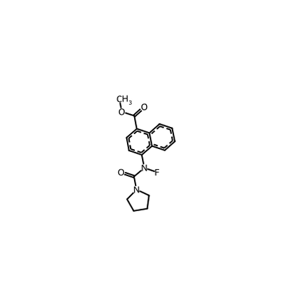 COC(=O)c1ccc(N(F)C(=O)N2CCCC2)c2ccccc12